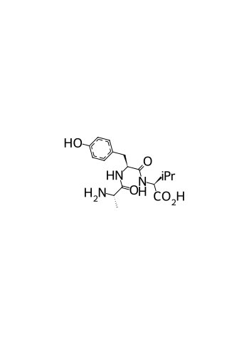 CC(C)[C@H](NC(=O)[C@H](Cc1ccc(O)cc1)NC(=O)[C@H](C)N)C(=O)O